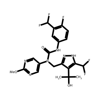 COc1ncc(N(Cc2n[nH]c(C(F)F)c2C(C)(C)O)C(=O)Nc2ccc(F)c(C(F)F)c2)cn1